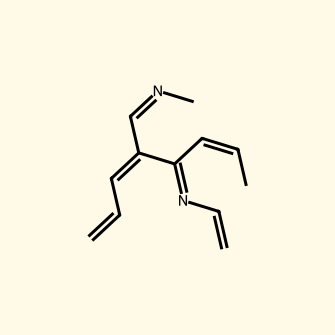 C=C/C=C(/C=N\C)C(\C=C/C)=N\C=C